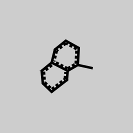 Cc1cccc2[c]cc[c]c12